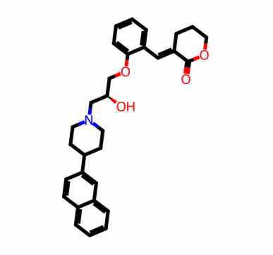 O=C1OCCC/C1=C\c1ccccc1OC[C@@H](O)CN1CCC(c2ccc3ccccc3c2)CC1